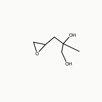 CC(O)(CO)CC1CO1